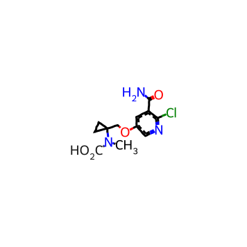 CN(C(=O)O)C1(COc2cnc(Cl)c(C(N)=O)c2)CC1